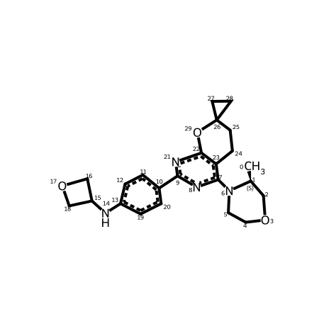 C[C@H]1COCCN1c1nc(-c2ccc(NC3COC3)cc2)nc2c1CCC1(CC1)O2